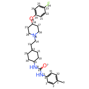 Cc1ccc(NC(=O)NC2CCC(CCN3CCC(Oc4ccc(F)cc4)CC3)CC2)cc1